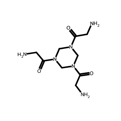 NCC(=O)N1CN(C(=O)CN)CN(C(=O)CN)C1